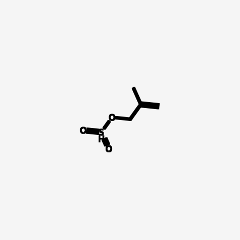 C=C(C)CO[SH](=O)=O